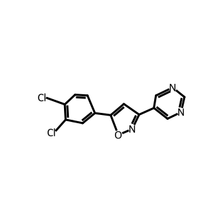 Clc1ccc(-c2cc(-c3cncnc3)no2)cc1Cl